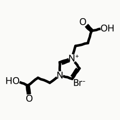 O=C(O)CCn1cc[n+](CCC(=O)O)c1.[Br-]